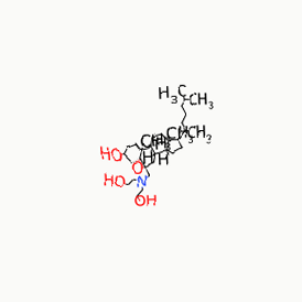 CC(C)CCC[C@@H](C)[C@H]1CC[C@H]2[C@@H]3C[C@]4(CN(CCO)CCO)O[C@]45C[C@@H](O)CC[C@]5(C)[C@H]3CC[C@]12C